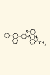 Cc1cn2c3c(cccc13)B1c3ccc(-c4ccc(-c5ccccc5)c5ccccc45)cc3Sc3cccc-2c31